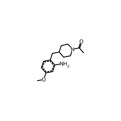 COc1ccc(CC2CCN(C(C)=O)CC2)c(N)c1